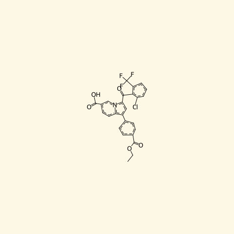 CCOC(=O)c1ccc(-c2cc(C(=O)c3c(Cl)cccc3C(F)(F)F)n3cc(C(=O)O)ccc23)cc1